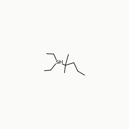 CCCC(C)(C)[SiH](CC)CC